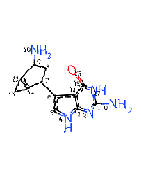 Nc1nc2[nH]cc(C3CC(N)C4=C3C4)c2c(=O)[nH]1